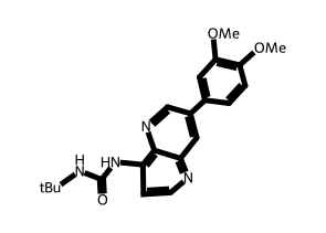 COc1ccc(-c2cnc3c(NC(=O)NC(C)(C)C)ccnc3c2)cc1OC